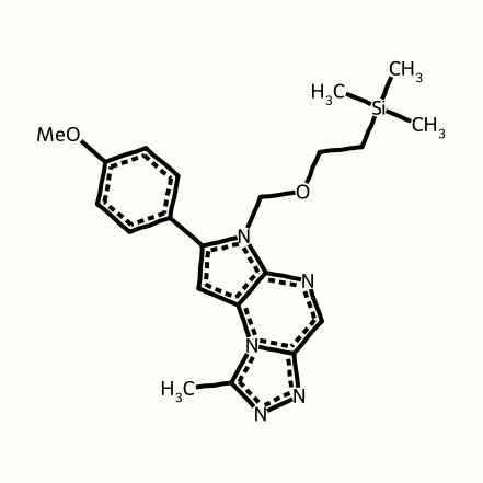 COc1ccc(-c2cc3c(ncc4nnc(C)n43)n2COCC[Si](C)(C)C)cc1